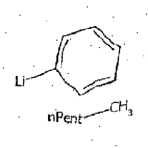 CCCCCC.[Li][c]1ccccc1